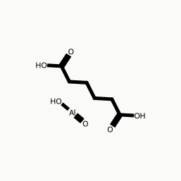 O=C(O)CCCCC(=O)O.[O]=[Al][OH]